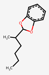 CCCCC(C)C1Oc2ccccc2O1